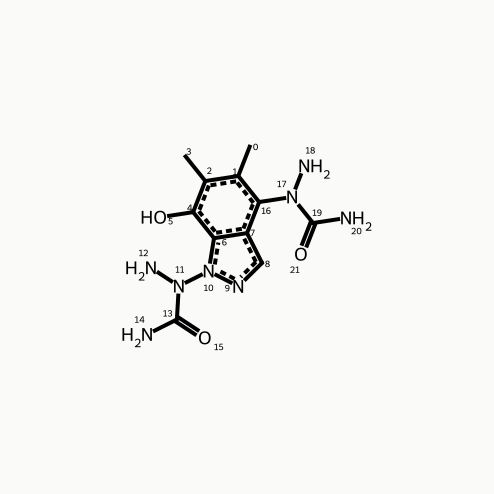 Cc1c(C)c(O)c2c(cnn2N(N)C(N)=O)c1N(N)C(N)=O